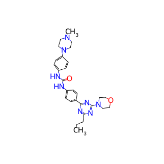 CCCc1nc(-c2ccc(NC(=O)Nc3ccc(N4CCN(C)CC4)cc3)cc2)nc(N2CCOCC2)n1